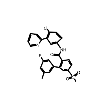 Cc1cc(F)cc(-c2cc(S(C)(=O)=O)ccc2C(=O)Nc2ccc(Cl)c(-c3ccccn3)c2)c1